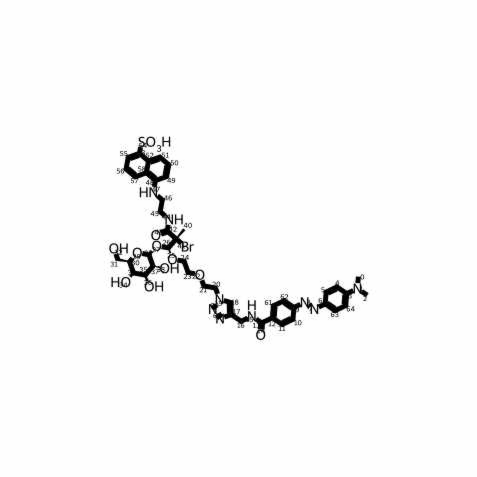 CN(C)c1ccc(/N=N/c2ccc(C(=O)NCc3cn(CCOCCO[C@H](O[C@@H]4O[C@H](CO)[C@H](O)[C@H](O)[C@H]4O)[C@@](C)(Br)C(=O)NCCNc4cccc5c(S(=O)(=O)O)cccc45)nn3)cc2)cc1